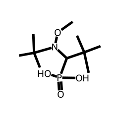 CON(C(C(C)(C)C)P(=O)(O)O)C(C)(C)C